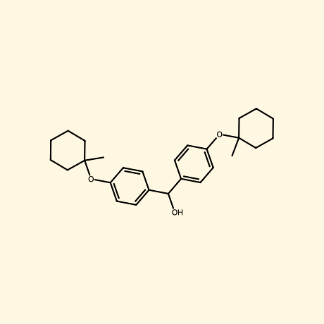 CC1(Oc2ccc(C(O)c3ccc(OC4(C)CCCCC4)cc3)cc2)CCCCC1